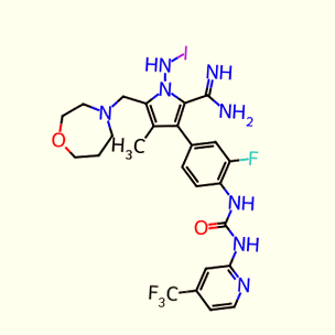 Cc1c(-c2ccc(NC(=O)Nc3cc(C(F)(F)F)ccn3)c(F)c2)c(C(=N)N)n(NI)c1CN1CCCOCC1